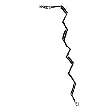 [CH2]CCCCCC/C=C\CC=CCC=CCC=CCC